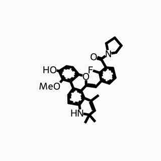 COc1c(O)ccc2c1-c1ccc3c(c1/C(=C/c1cccc(C(=O)N4CCCC4)c1F)O2)C(C)=CC(C)(C)N3